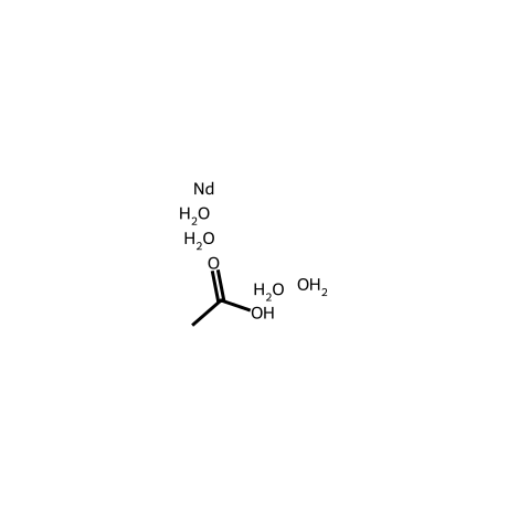 CC(=O)O.O.O.O.O.[Nd]